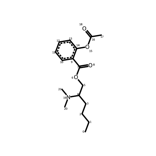 CCCCC(COC(=O)c1ccccc1OC(C)=O)N(C)C